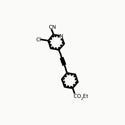 CCOC(=O)c1ccc(C#Cc2cnc(C#N)c(Cl)c2)cc1